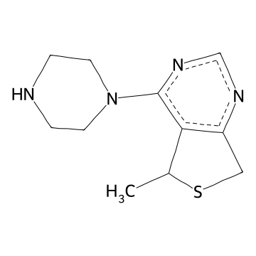 CC1SCc2ncnc(N3CCNCC3)c21